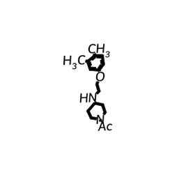 CC(=O)N1CCC(NCCOc2ccc(C)c(C)c2)CC1